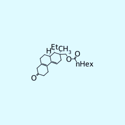 CCCCCCC(=O)OC[C@@]1(C)CC=C2C3=C(CC[C@H]2[C@@H]1CC)CC(=O)CC3